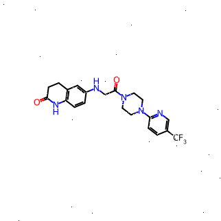 O=C1CCc2cc(NCC(=O)N3CCN(c4ccc(C(F)(F)F)cn4)CC3)ccc2N1